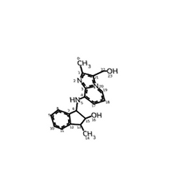 Cc1nc2c(NC3c4ccccc4C(C)C3O)cccn2c1CO